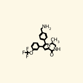 C[C@H]1CNC(=O)c2cc(-c3cccc(OC(F)(F)F)c3)c(-c3ccc(CN)cc3)n21